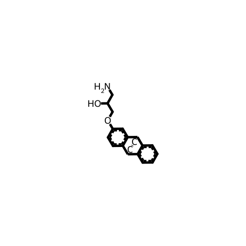 NCC(O)COc1ccc2c(c1)C1CCC2c2ccccc21